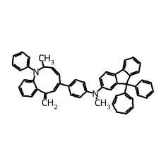 C=C1/C=C(c2ccc(N(C)c3ccc4c(c3)C(C3=CC=CCC=C3)(c3ccccc3)c3ccccc3-4)cc2)\C=C/C(C)N(c2ccccc2)c2ccccc21